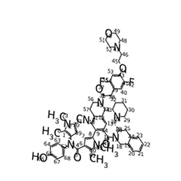 Cc1c(N(C(=O)c2cc(-c3cc4c(cc3C(=O)N3Cc5ccccc5C[C@H]3CN3CCCCC3)CN(C(=O)Cc3cc(F)c(OCCN5CCOCC5)cc3F)CC4)n(C)c2C)c2ccc(O)cc2)cc(C#N)n1C